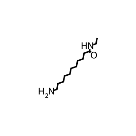 CCNC(=O)CCCCCCCCCCN